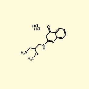 COC(CN)CNC1=Nc2ccccc2C(=O)C1.Cl.Cl